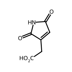 O=C(O)CC1=CC(=O)NC1=O